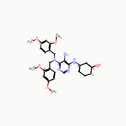 COc1ccc(CN(Cc2ccc(OC)cc2OC)c2ncnc(NC3CCCC(O)C3)c2N)c(OC)c1